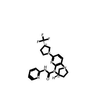 O=C(Nc1ccc#cn1)N1c2nc(N3CC[C@H](C(F)(F)F)C3)ccc2N2CC[C@H]1C2